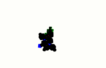 Cc1ccc2c(c1)c1cc(C)ccc1n2-c1ccc(-c2ccc(C(F)(F)F)cc2C(F)(F)F)cc1-c1ccc(C#N)cc1-n1c2ccc(C)cc2c2cc(C)ccc21